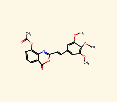 COc1cc(/C=C/c2nc3c(OC(C)=O)cccc3c(=O)o2)cc(OC)c1OC